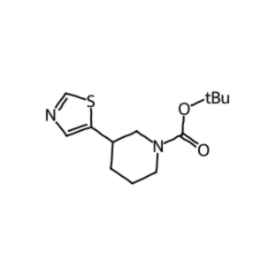 CC(C)(C)OC(=O)N1CCCC(c2cncs2)C1